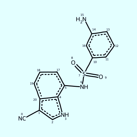 N#Cc1c[nH]c2c(NS(=O)(=O)c3cccc(N)c3)cccc12